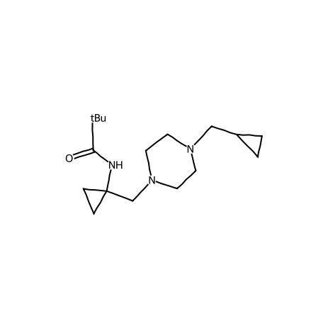 CC(C)(C)C(=O)NC1(CN2CCN(CC3CC3)CC2)CC1